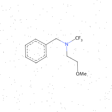 COCCN(Cc1ccccc1)C(F)(F)F